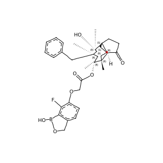 C[C@@H]1CC[C@@]23CCC(=O)[C@H]2[C@]1(C)[C@H](OC(=O)COc1ccc2c(c1F)B(O)OC2)C[C@@](C)(Cc1ccccc1)[C@@H](O)[C@@H]3C